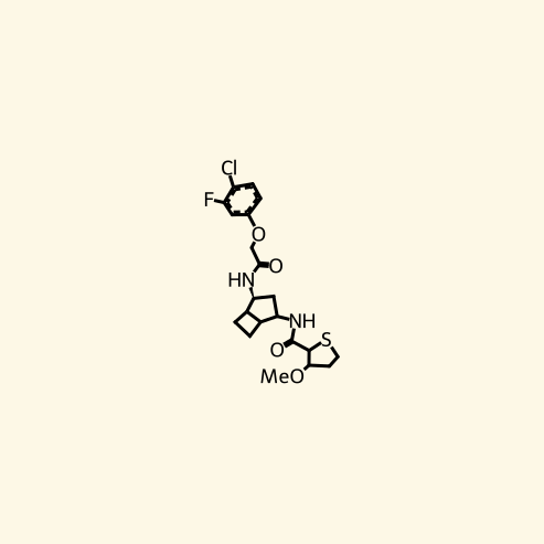 COC1CCSC1C(=O)NC1C[C@H](NC(=O)COc2ccc(Cl)c(F)c2)C2CCC12